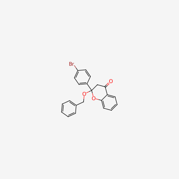 O=C1CC(OCc2ccccc2)(c2ccc(Br)cc2)Oc2ccccc21